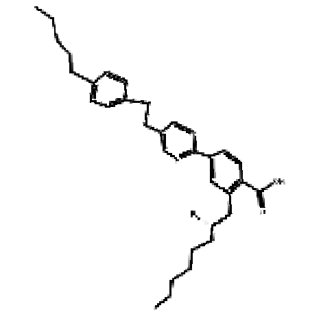 CCCCCC[C@H](F)Cc1cc(-c2ncc(CCc3ccc(CCCCC)cc3)cn2)ccc1C(=O)O